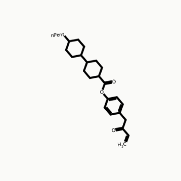 C=CC(=O)Cc1ccc(OC(=O)C2CCC(C3CCC(CCCCC)CC3)CC2)cc1